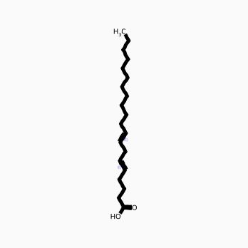 CCCCCCCCCCC/C=C/C/C=C/CCCC(=O)O